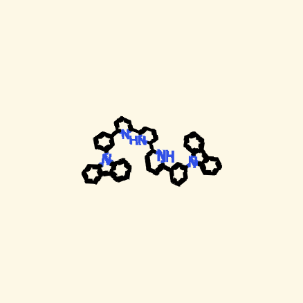 C1=CC(C2C=CC=C(c3cccc(-c4cccc(-n5c6ccccc6c6ccccc65)c4)n3)N2)NC(c2cccc(-n3c4ccccc4c4ccccc43)c2)=C1